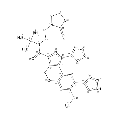 BC(B)(B)N(CCN1CCOC1=O)C(=O)c1nn(-c2ccsc2)c2c1COc1cc(OC)c(-c3cn[nH]c3)cc1-2